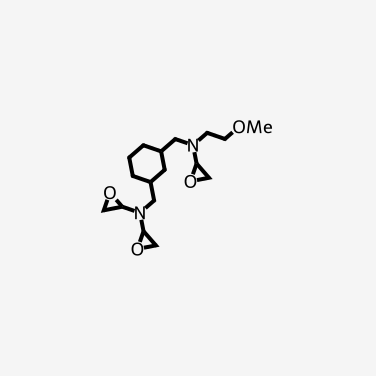 COCCN(CC1CCCC(CN(C2CO2)C2CO2)C1)C1CO1